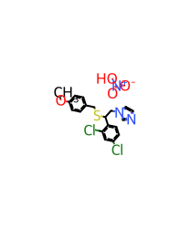 COc1ccc(CSC(Cn2ccnc2)c2ccc(Cl)cc2Cl)cc1.O=[N+]([O-])O